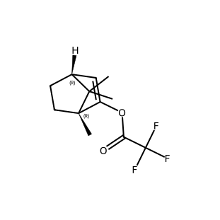 CC1(C)[C@H]2C=C(OC(=O)C(F)(F)F)[C@]1(C)CC2